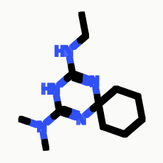 CCNC1=NC2(CCCCC2)N=C(N(C)C)N1